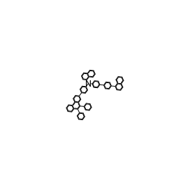 c1ccc(-c2c(-c3ccccc3)c3cc(-c4ccc(N(c5ccc(-c6ccc(-c7cccc8ccccc78)cc6)cc5)c5cccc6ccccc56)cc4)ccc3c3ccccc23)cc1